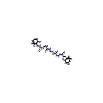 CC1=C(/C=C/C(C)=C\C=C/C(C)=C/C=C/C=C(C)/C=C\C=C(C)/C=C/C2=C(C)CCCC2(C)C)C(C)(C)CCC1